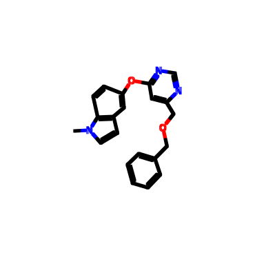 Cn1ccc2cc(Oc3cc(COCc4ccccc4)ncn3)ccc21